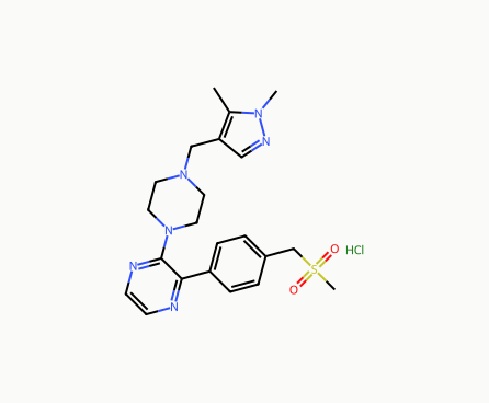 Cc1c(CN2CCN(c3nccnc3-c3ccc(CS(C)(=O)=O)cc3)CC2)cnn1C.Cl